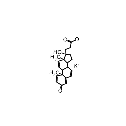 C[C@]12C=CC(=O)C=C1C=CC1C2C=C[C@@]2(C)C1CC[C@@]2(O)CCC(=O)[O-].[K+]